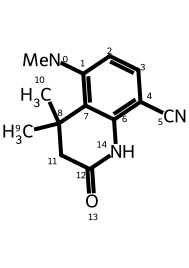 CNc1ccc(C#N)c2c1C(C)(C)CC(=O)N2